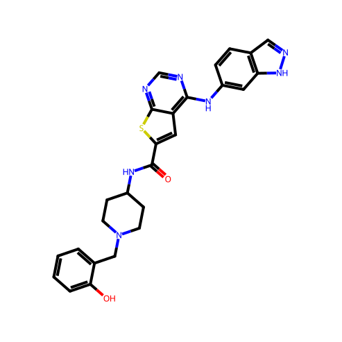 O=C(NC1CCN(Cc2ccccc2O)CC1)c1cc2c(Nc3ccc4cn[nH]c4c3)ncnc2s1